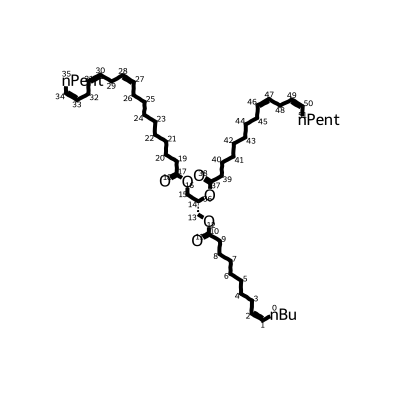 CCCC/C=C\CCCCCCCC(=O)OC[C@H](COC(=O)CCCCCCCC/C=C\C/C=C\C/C=C\CCCCC)OC(=O)CCCCCCC/C=C\C/C=C\CCCCC